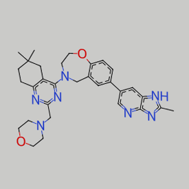 Cc1nc2ncc(-c3ccc4c(c3)CN(c3nc(CN5CCOCC5)nc5c3CC(C)(C)CC5)CCO4)cc2[nH]1